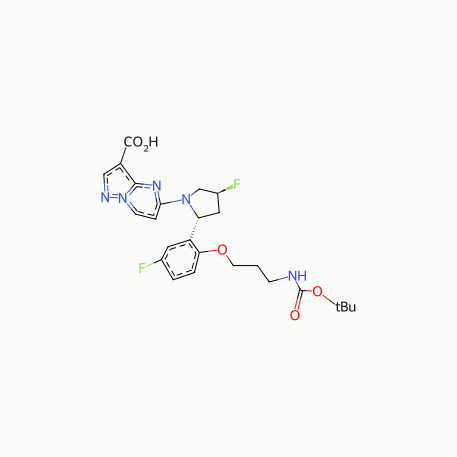 CC(C)(C)OC(=O)NCCCOc1ccc(F)cc1[C@H]1C[C@H](F)CN1c1ccn2ncc(C(=O)O)c2n1